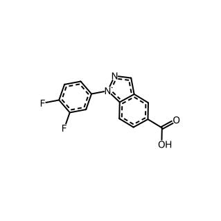 O=C(O)c1ccc2c(cnn2-c2ccc(F)c(F)c2)c1